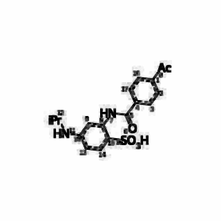 CC(=O)c1ccc(C(=O)Nc2cc(NC(C)C)ccc2S(=O)(=O)O)cc1